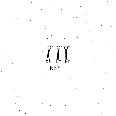 CC[O-].CC[O-].CC[O-].[Nb+3]